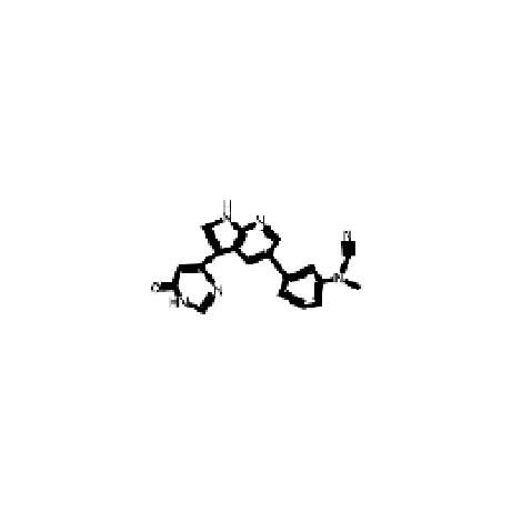 CN(C#N)c1cccc(-c2cnc3[nH]cc(-c4cc(=O)[nH]cn4)c3c2)c1